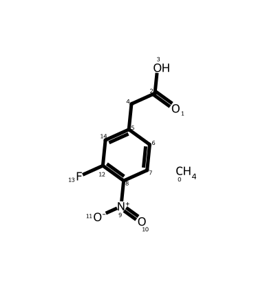 C.O=C(O)Cc1ccc([N+](=O)[O-])c(F)c1